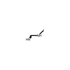 N=[C]NI